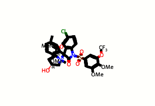 CNC(=O)[C@@H]1C[C@@H](O)C[N+]1(C)C1(c2cc(C)ccc2OC)C(=O)N(S(=O)(=O)c2cc(OC)c(OC)c(OC(F)(F)F)c2)c2ccc(Cl)cc21